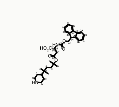 CC(C)(CCC(C)(C)C1CCNCC1)OC(=O)C[C@H](NC(=O)OCC1c2ccccc2-c2ccccc21)C(=O)O